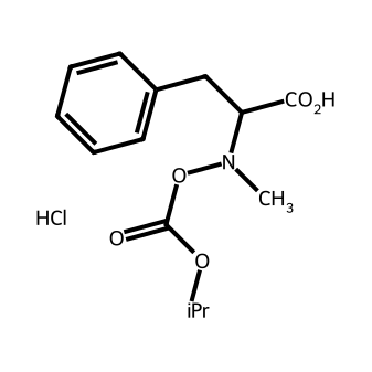 CC(C)OC(=O)ON(C)C(Cc1ccccc1)C(=O)O.Cl